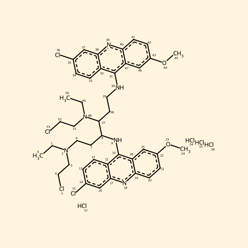 CCN(CCCl)CCC(Nc1c2ccc(Cl)cc2nc2ccc(OC)cc12)C(CCNc1c2ccc(Cl)cc2nc2ccc(OC)cc12)N(CC)CCCl.Cl.Cl.Cl.Cl